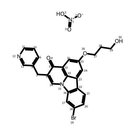 O=[N+]([O-])O.O=c1c(Cc2cccnc2)cn2c3cc(Br)ccc3c3cc(OCCCO)cc1c32